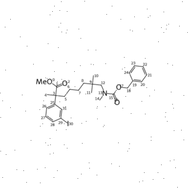 COC(=O)C(C)(CCCCC(C)(C)CN(C)C(=O)OCc1ccccc1)c1cccc(I)c1